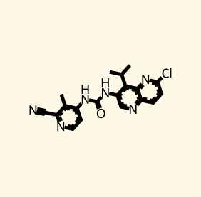 Cc1c(NC(=O)Nc2cnc3ccc(Cl)nc3c2C(C)C)ccnc1C#N